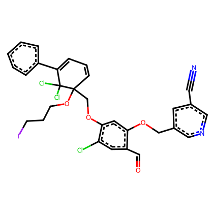 N#Cc1cncc(COc2cc(OCC3(OCCCI)C=CC=C(c4ccccc4)C3(Cl)Cl)c(Cl)cc2C=O)c1